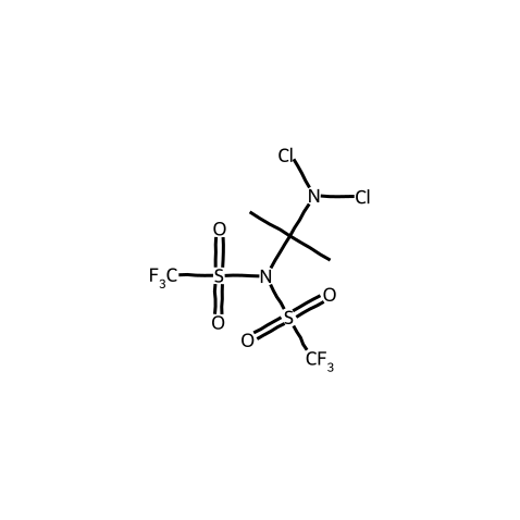 CC(C)(N(Cl)Cl)N(S(=O)(=O)C(F)(F)F)S(=O)(=O)C(F)(F)F